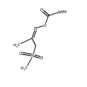 CNC(=O)ON=C(C)CS(C)(=O)=O